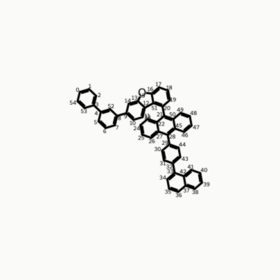 c1ccc(-c2cccc(-c3ccc4c(c3)oc3cccc(-c5c6ccccc6c(-c6ccc(-c7cccc8ccccc78)cc6)c6ccccc56)c34)c2)cc1